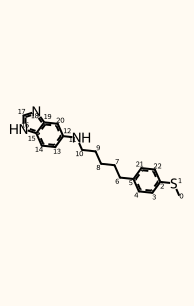 CSc1ccc(CCCCCNc2ccc3[nH]cnc3c2)cc1